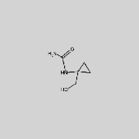 NC(=O)NC1(CO)CC1